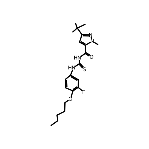 CCCCCOc1ccc(NC(=S)NC(=O)c2cc(C(C)(C)C)nn2C)cc1F